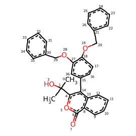 CC(C)(O)c1oc(=O)c2ccccc2c1-c1ccc(OCc2ccccc2)c(OCc2ccccc2)c1